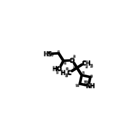 CC(C)(OC(O)CS)C1CNC1